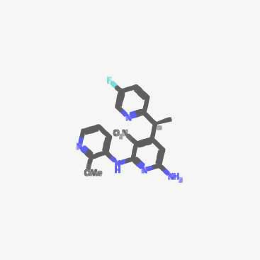 COc1ncccc1Nc1nc(N)cc([C@H](C)c2ccc(F)cn2)c1[N+](=O)[O-]